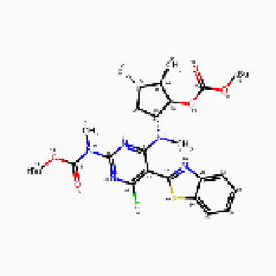 CC[C@H]1C[C@@H](N(C)c2nc(N(C)C(=O)OC(C)(C)C)nc(Cl)c2-c2nc3ccccc3s2)C(OC(=O)OC(C)(C)C)[C@@H]1C